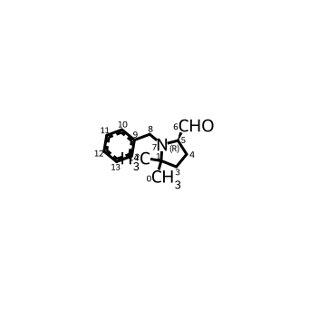 CC1(C)CC[C@H](C=O)N1Cc1ccccc1